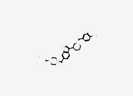 CC(C)N1CCN(C(=O)c2ccc3c(C4CCCN(C(=O)c5ccc(Cl)c(Cl)c5)C4)c[nH]c3c2)CC1